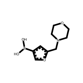 OB(O)c1coc(CN2CCOCC2)c1